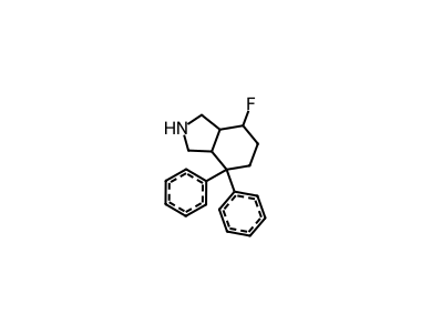 FC1CCC(c2ccccc2)(c2ccccc2)C2CNCC12